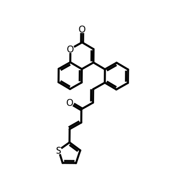 O=C(C=Cc1cccs1)C=Cc1ccccc1-c1cc(=O)oc2ccccc12